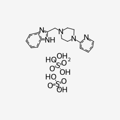 O.O=S(=O)(O)O.O=S(=O)(O)O.c1ccc(N2CCN(Cc3nc4ccccc4[nH]3)CC2)nc1